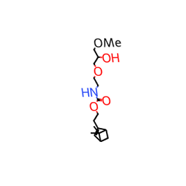 COCC(O)COCCNC(=O)OCCC1=CC2CC1C2(C)C